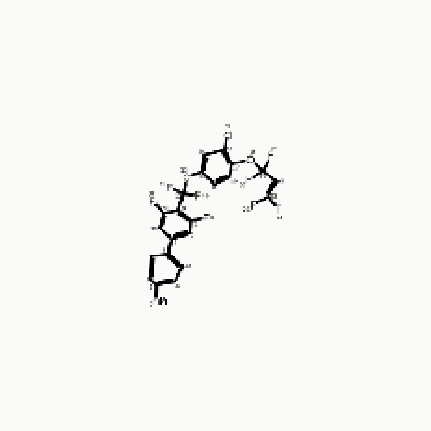 CCCc1ccc(-c2cc(F)c(C(F)(F)Oc3ccc(OC(F)(F)C=C(F)F)c(Cl)c3)c(F)c2)cc1